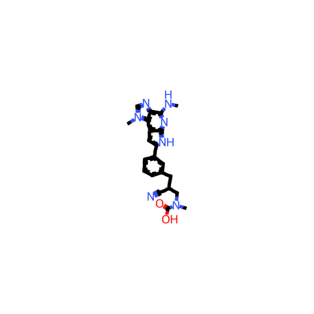 CNc1nc2[nH]c(-c3cccc(CC(C#N)CN(C)C(=O)O)c3)cc2c2c1ncn2C